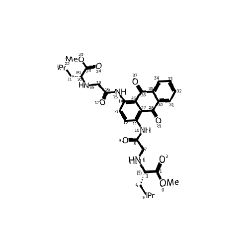 COC(=O)[C@H](CC(C)C)NCC(=O)Nc1ccc(NC(=O)CN[C@H](CC(C)C)C(=O)OC)c2c1C(=O)c1ccccc1C2=O